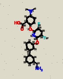 CN(C)c1ccc(Oc2nc(Oc3cccc(-c4cccc(CN)c4)c3)c(F)cc2F)c(C(=O)O)c1